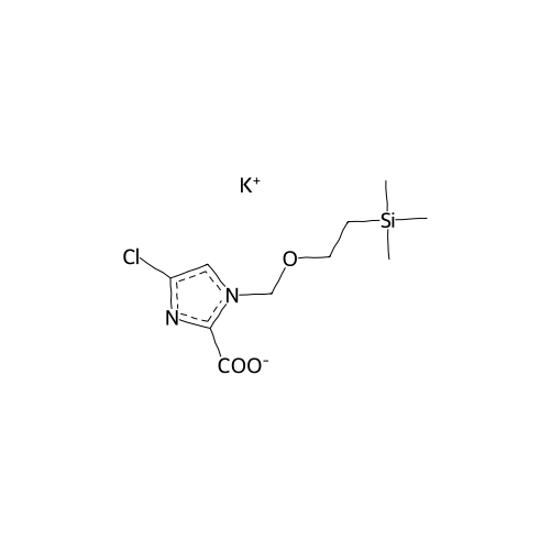 C[Si](C)(C)CCOCn1cc(Cl)nc1C(=O)[O-].[K+]